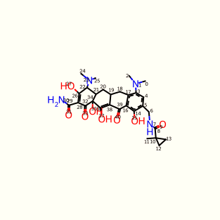 CN(C)c1cc(CNC(=O)C2(C)CC2)c(O)c2c1CC1CC3C(N(C)C)C(O)=C(C(N)=O)C(=O)C3(O)C(O)=C1C2=O